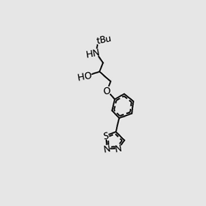 CC(C)(C)NCC(O)COc1cccc(-c2cnns2)c1